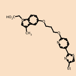 CCc1csc(-c2ccc(OCCCOc3ccc4c(c3)c(C)cn4CC(=O)O)nc2)n1